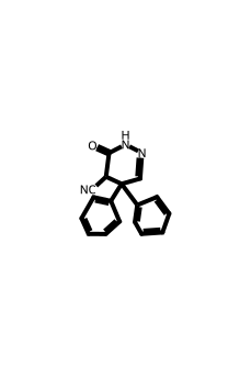 N#CC1C(=O)NN=CC1(c1ccccc1)c1ccccc1